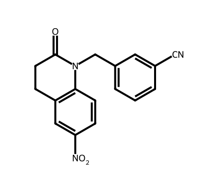 N#Cc1cccc(CN2C(=O)CCc3cc([N+](=O)[O-])ccc32)c1